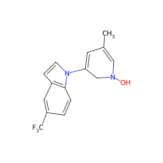 CC1=CN(O)CC(n2ccc3cc(C(F)(F)F)ccc32)=C1